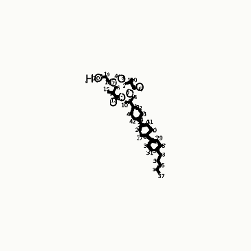 C=C(COC)C(=O)OCC(COC(=O)C(=C)COCCO)C1CCC(C2CCC(c3ccc(CCCCC)cc3)CC2)CC1